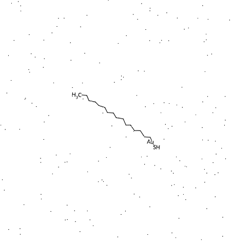 CCCCCCCCCCCCCCC[CH2][Au][SH]